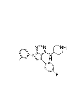 Cc1cccc(-n2cc(-c3ccc(F)cc3)c3c(NC4CCNCC4)ncnc32)c1